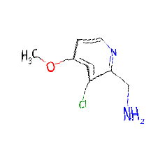 COc1ccnc(CN)c1Cl